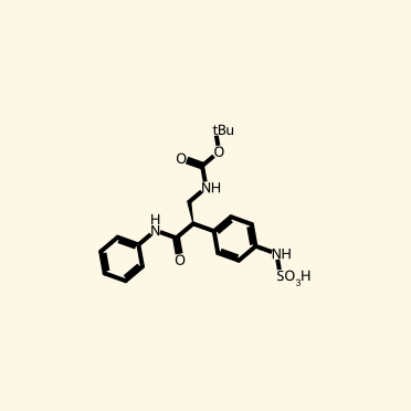 CC(C)(C)OC(=O)NC[C@H](C(=O)Nc1ccccc1)c1ccc(NS(=O)(=O)O)cc1